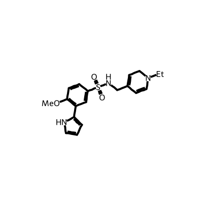 CCN1C=CC(CNS(=O)(=O)c2ccc(OC)c(-c3ccc[nH]3)c2)=CC1